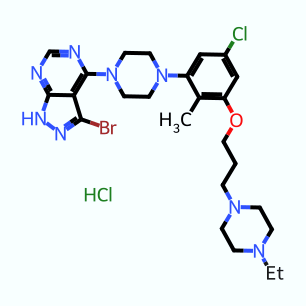 CCN1CCN(CCCOc2cc(Cl)cc(N3CCN(c4ncnc5[nH]nc(Br)c45)CC3)c2C)CC1.Cl